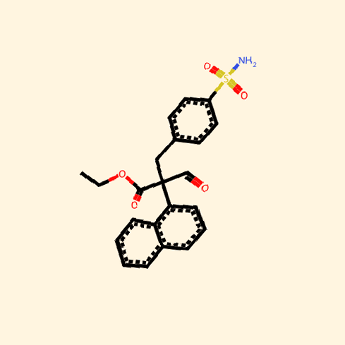 CCOC(=O)C(C=O)(Cc1ccc(S(N)(=O)=O)cc1)c1cccc2ccccc12